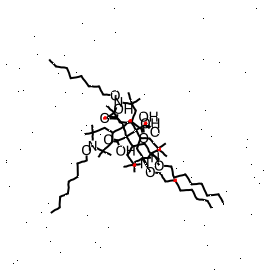 CCCCCCCCON1C(C)(C)CC(C(CC(=O)O)(C(=O)O)C(C(=O)O)(C2CC(C)(C)N(OCCCCCCCC)C(C)(C)C2)C(C(=O)O)(C2CC(C)(C)N(OCCCCCCCC)C(C)(C)C2)C2CC(C)(C)N(OCCCCCCCC)C(C)(C)C2)CC1(C)C